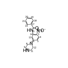 O=[N+]([O-])c1ccc(N2CCNCC2)cc1NCc1ccccc1